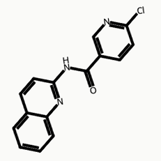 O=C(Nc1ccc2ccccc2n1)c1ccc(Cl)nc1